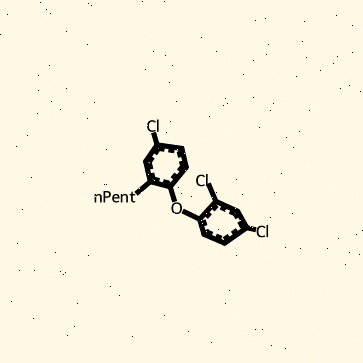 CCCCCc1cc(Cl)ccc1Oc1ccc(Cl)cc1Cl